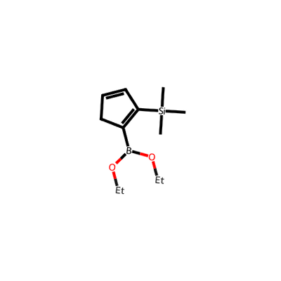 CCOB(OCC)C1=C([Si](C)(C)C)C=CC1